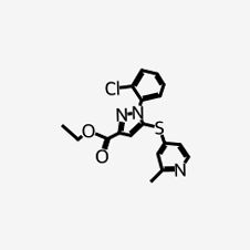 CCOC(=O)c1cc(Sc2ccnc(C)c2)n(-c2ccccc2Cl)n1